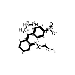 CCON=C1CCCCC1=Cc1ccc([N+](=O)[O-])cc1.CNC